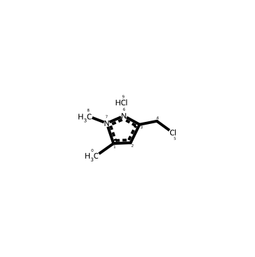 Cc1cc(CCl)nn1C.Cl